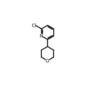 Clc1cccc(C2CCOCC2)n1